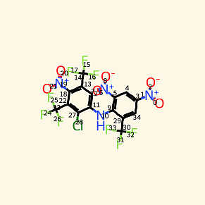 O=[N+]([O-])c1cc([N+](=O)[O-])c(Nc2cc(C(F)(F)F)c([N+](=O)[O-])c(C(F)(F)F)c2Cl)c(C(F)(F)F)c1